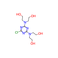 OCCN(CCO)c1nc(Cl)nc(N(CCO)CCO)n1